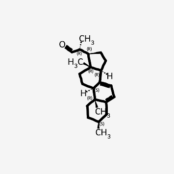 C[C@H]1CC[C@@]2(C)C(=CC=C3[C@@H]4CC[C@H]([C@@H](C)C=O)[C@@]4(C)CC[C@@H]32)C1